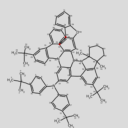 CC(C)(C)c1ccc(N(c2ccc(C(C)(C)C)cc2)c2cc3c4c(c2)N(c2ccc(C(C)(C)C)cc2-c2ccccc2)c2cc5c(cc2B4N2c4c-3cc(C(C)(C)C)cc4C3(C)CCCCC23C)oc2ccccc25)cc1